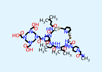 C=NC(=O)CN1CCC(NC(=O)[C@H]2CSCc3cccc(n3)CSC[C@@H](NC(=O)CCC(C)C)C(=O)NC3(CCN(C(=O)CN4CCN(CC(=O)O)CCN(CC(=O)O)CCN(CC(=O)O)CC4)CC3)C(=O)NC(CC(C)C)C(=O)N[C@@H]([C@@H](C)CC)C(=O)N2)CC1